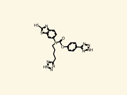 O=C(Oc1ccc(-c2nn[nH]n2)cc1)N(CCCCc1nn[nH]n1)c1ccc2nc(S)sc2c1